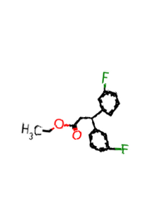 CCOC(=O)CC(c1cccc(F)c1)c1cccc(F)c1